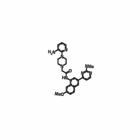 CNc1nccc(-c2cc(NC(=O)CN3CCN(c4ncccc4N)CC3)c3cc(OC)ccc3c2)n1